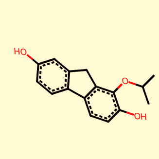 CC(C)Oc1c(O)ccc2c1Cc1cc(O)ccc1-2